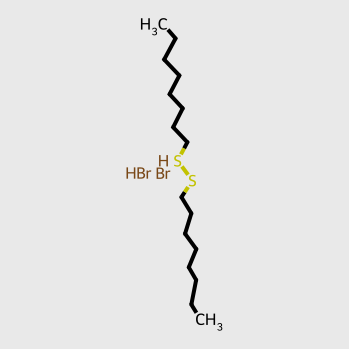 Br.Br.CCCCCCCCSSCCCCCCCC